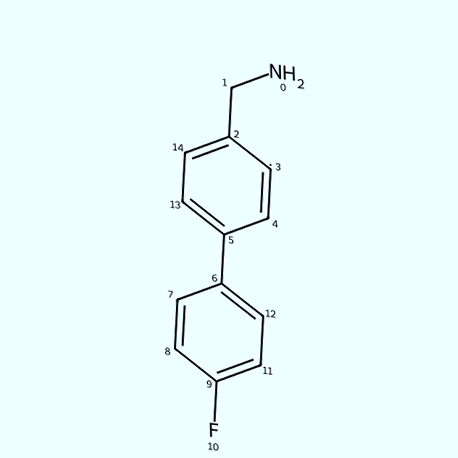 NCc1[c]cc(-c2ccc(F)cc2)cc1